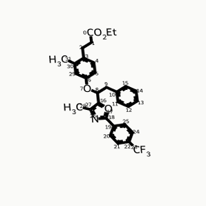 CCOC(=O)CCc1ccc(OC(Cc2ccccc2)c2oc(-c3ccc(C(F)(F)F)cc3)nc2C)cc1C